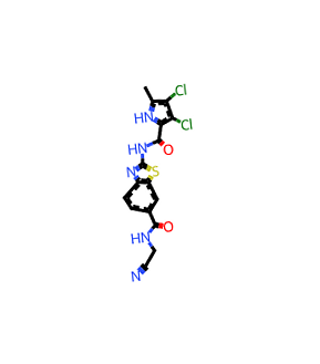 Cc1[nH]c(C(=O)Nc2nc3ccc(C(=O)NCC#N)cc3s2)c(Cl)c1Cl